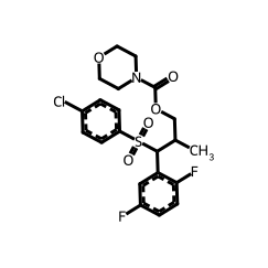 CC(COC(=O)N1CCOCC1)C(c1cc(F)ccc1F)S(=O)(=O)c1ccc(Cl)cc1